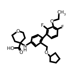 CCOc1c(F)ccc(-c2ccc(NC3(C(=O)O)CCOCC3)cc2COC2CCCC2)c1F